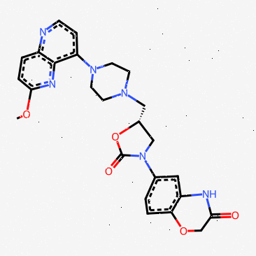 COc1ccc2nccc(N3CCN(C[C@@H]4CN(c5ccc6c(c5)NC(=O)CO6)C(=O)O4)CC3)c2n1